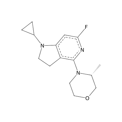 C[C@@H]1COCCN1c1nc(F)cc2c1CCN2C1CC1